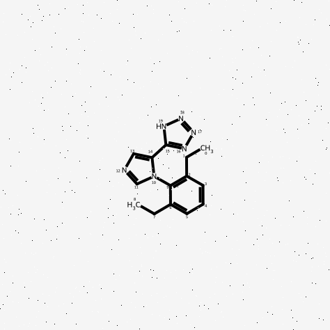 CCc1cccc(CC)c1-n1cncc1-c1nnn[nH]1